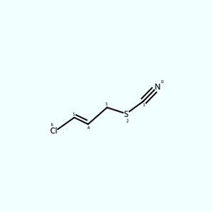 N#CSC/C=C/Cl